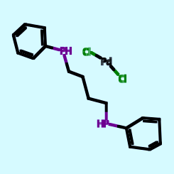 [Cl][Pd][Cl].c1ccc(PCCCCPc2ccccc2)cc1